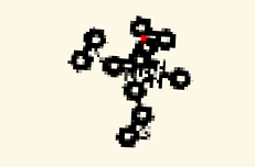 c1ccc(-c2nc(-c3ccccc3)nc(-c3cc(-c4ccc5sc6ccccc6c5c4)ccc3-n3c4ccc(-n5c6ccccc6c6ccccc65)cc4c4cc(-n5c6ccccc6c6ccccc65)ccc43)n2)cc1